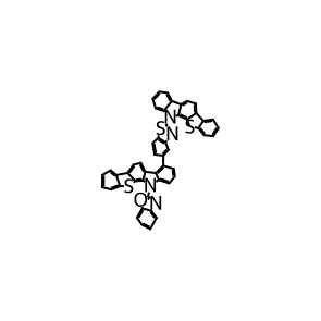 c1ccc2oc(-n3c4cccc(-c5ccc6sc(-n7c8ccccc8c8ccc9c%10ccccc%10sc9c87)nc6c5)c4c4ccc5c6ccccc6sc5c43)nc2c1